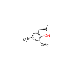 COc1cc([N+](=O)[O-])cc(C=C(C)C)c1O